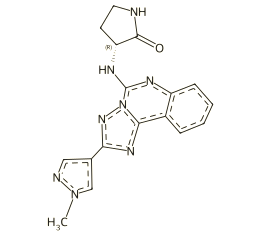 Cn1cc(-c2nc3c4ccccc4nc(N[C@@H]4CCNC4=O)n3n2)cn1